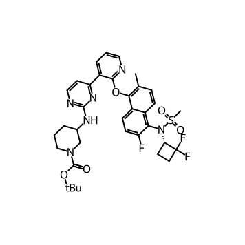 Cc1ccc2c(N([C@H]3CCC3(F)F)S(C)(=O)=O)c(F)ccc2c1Oc1ncccc1-c1ccnc(NC2CCCN(C(=O)OC(C)(C)C)C2)n1